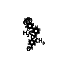 Cc1cc(C=O)ccc1OCc1cccc(-c2ccc3c(c2)OCCO3)c1C